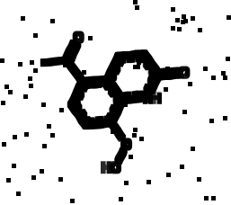 CC(=O)c1ccc(OO)c2[nH]c(=O)ccc12